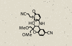 COCC1(COC)Oc2ccc(C#N)cc2[C@@H](Nc2ccc(=O)n(CCC#N)n2)[C@@H]1O